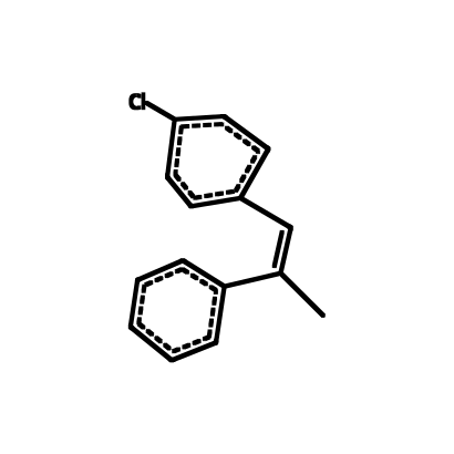 CC(=Cc1ccc(Cl)cc1)c1ccccc1